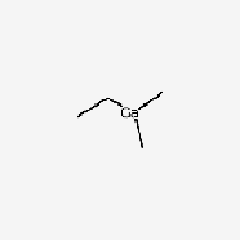 C[CH2][Ga]([CH3])[CH3]